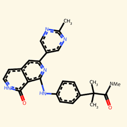 CNC(=O)C(C)(C)c1ccc(Nc2nc(-c3cnc(C)nc3)cc3cc[nH]c(=O)c23)cc1